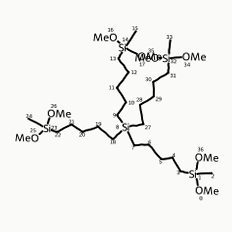 CO[Si](C)(CCCCC[Si](CCCCC[Si](C)(OC)OC)(CCCCC[Si](C)(OC)OC)CCCCC[Si](C)(OC)OC)OC